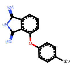 CC(C)(C)c1ccc(Oc2cccc3c2C(=N)NC3=N)cc1